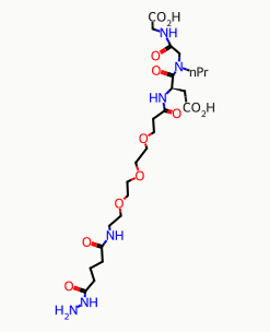 CCCN(CC(=O)NCC(=O)O)C(=O)[C@@H](CC(=O)O)NC(=O)CCOCCOCCOCCNC(=O)CCCC(=O)NN